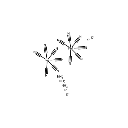 N#[C][Fe-3]([C]#N)([C]#N)([C]#N)([C]#N)[C]#N.N#[C][Fe-4]([C]#N)([C]#N)([C]#N)([C]#N)[C]#N.[K+].[K+].[K+].[K+].[NH4+].[NH4+].[NH4+]